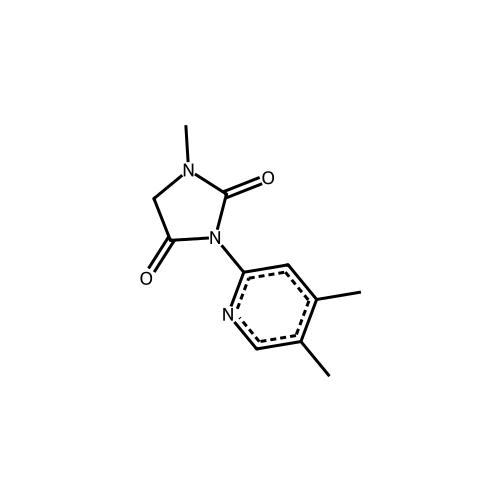 Cc1cnc(N2C(=O)CN(C)C2=O)cc1C